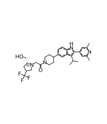 Cc1cc(-c2[nH]c3ccc(C4CCN(C(=O)CN5CC(C(F)(F)F)C[C@@H]5CO)CC4)cc3c2C(C)C)cc(C)n1